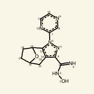 N=C(NO)c1nn(-c2cnccn2)c2c1CC1CCC2O1